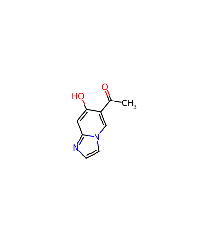 CC(=O)c1cn2ccnc2cc1O